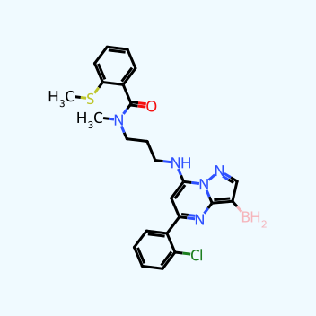 Bc1cnn2c(NCCCN(C)C(=O)c3ccccc3SC)cc(-c3ccccc3Cl)nc12